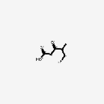 CC(CF)C(=O)CC(=O)O